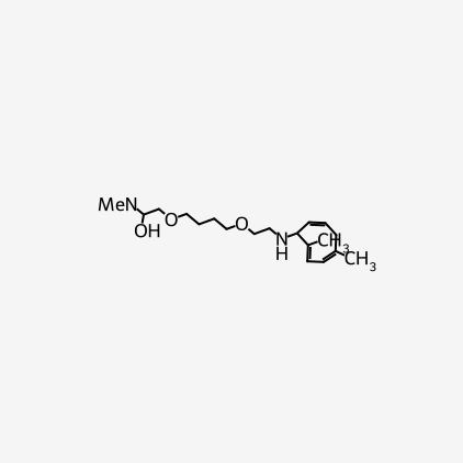 CNC(O)COCCCCOCCNC1/C=C\C/C(C)=C\C=C\1C